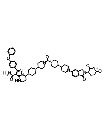 NC(=O)c1c(-c2ccc(Oc3ccccc3)cc2)nn2c1NCCC2C1CCN(C2CCN(C(=O)N3CCC(C4CCN(c5ccc6c(c5)CN(C5CCC(=O)NC5=O)C6=O)CC4)CC3)CC2)CC1